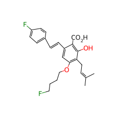 CC(C)=CCc1c(OCCCCF)cc(/C=C/c2ccc(F)cc2)c(C(=O)O)c1O